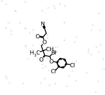 CC(C)(COC(=O)CC#N)C(=O)C(Br)Oc1ccc(Cl)cc1Cl